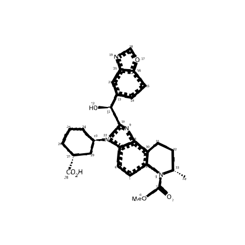 COC(=O)N1c2ccc3c(nc([C@@H](O)c4ccc5ocnc5c4)n3[C@@H]3CCC[C@@H](C(=O)O)C3)c2CC[C@@H]1C